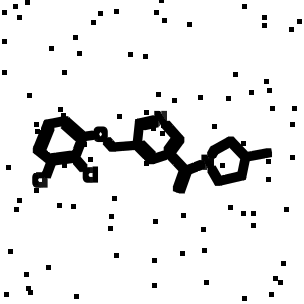 C=C(c1cncc(COc2cccc(Cl)c2Cl)c1)N1CCC(C)CC1